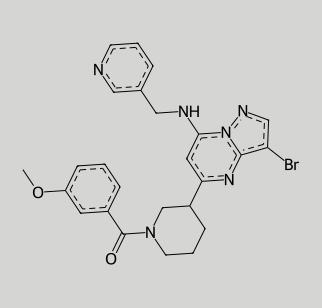 COc1cccc(C(=O)N2CCCC(c3cc(NCc4cccnc4)n4ncc(Br)c4n3)C2)c1